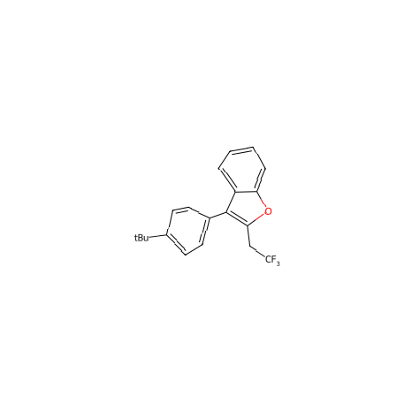 CC(C)(C)c1ccc(-c2c(CC(F)(F)F)oc3ccccc23)cc1